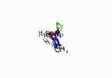 C/N=c1\scc(CN2CCN(C(=O)[C@H](NC(=O)Nc3ccc(Cl)cc3)C(C)(C)C)CC2)n1C